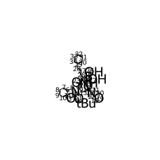 CC(C)(C)OC(=O)N(Cc1ccccc1)C(CC(=O)N1CCOCC1)C(=O)N[C@@H](CCCc1ccccc1)B(O)O